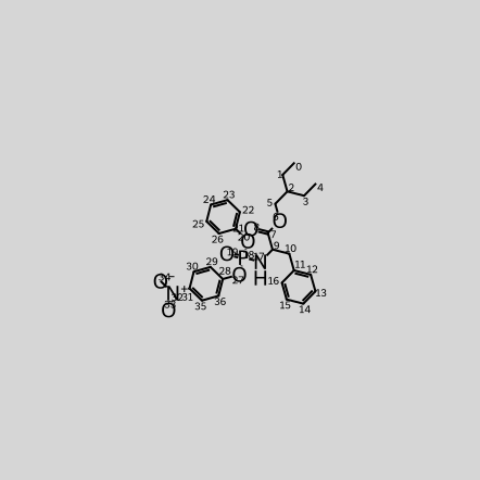 CCC(CC)COC(=O)C(Cc1ccccc1)NP(=O)(Oc1ccccc1)Oc1ccc([N+](=O)[O-])cc1